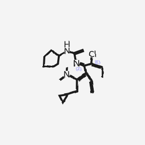 C=CC(=C(CC1CC1)N(C)C)C(=N/C(=C)NC1CCCCC1)/C(Cl)=C\C